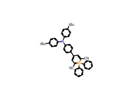 CC(C)(C)c1ccc(N(c2ccc(C3=CC(C#N)=P(c4ccccc4)(c4ccccc4)C(C#N)=C3)cc2)c2ccc(C(C)(C)C)cc2)cc1